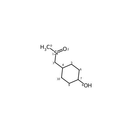 C[Si](=O)CC1CCC(O)CC1